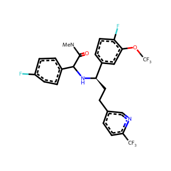 CNC(=O)C(N[C@H](CCc1ccc(C(F)(F)F)nc1)c1ccc(F)c(OC(F)(F)F)c1)c1ccc(F)cc1